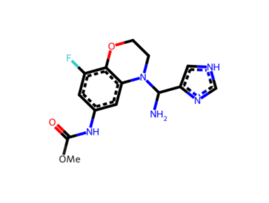 COC(=O)Nc1cc(F)c2c(c1)N(C(N)c1c[nH]cn1)CCO2